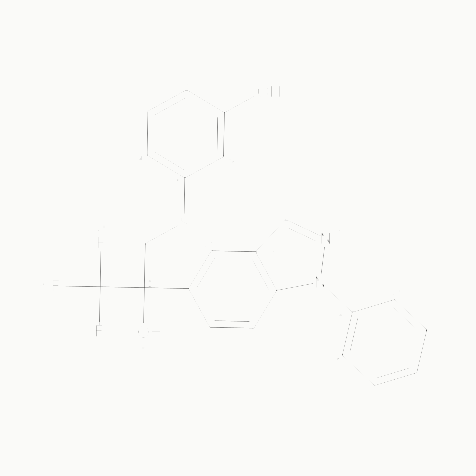 Oc1cccc(SCC(O)(c2ccc3c(cnn3-c3ccccc3)c2)C(F)(F)F)c1